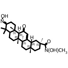 CN(O)C(=O)[C@@]1(C)CC[C@]2(C)CC[C@]3(C)C(=CC(=O)[C@@H]4[C@@]5(C)CCC(=NO)C(C)(C)C5CC[C@]43C)[C@@H]2C1